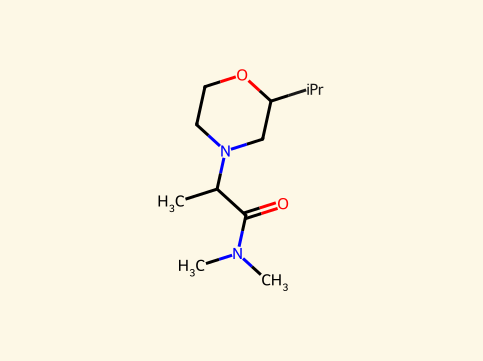 CC(C)C1CN(C(C)C(=O)N(C)C)CCO1